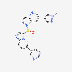 Cn1cc(-c2cnc3cnn([S+]([O-])c4cnc5ccc(-c6cncnc6)cn45)c3c2)cn1